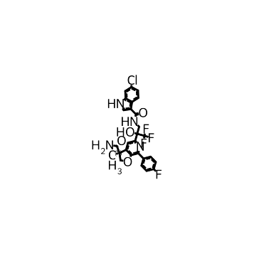 C[C@]1(C(N)=O)COc2c1cc(C(O)(CNC(=O)c1c[nH]c3cc(Cl)ccc13)C(F)(F)F)nc2-c1ccc(F)cc1